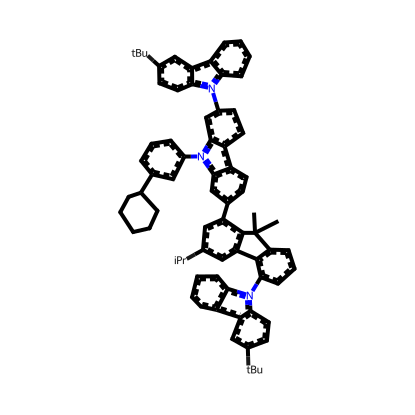 CC(C)c1cc(-c2ccc3c4ccc(-n5c6ccccc6c6cc(C(C)(C)C)ccc65)cc4n(-c4cccc(C5CCCCC5)c4)c3c2)c2c(c1)-c1c(-n3c4ccccc4c4cc(C(C)(C)C)ccc43)cccc1C2(C)C